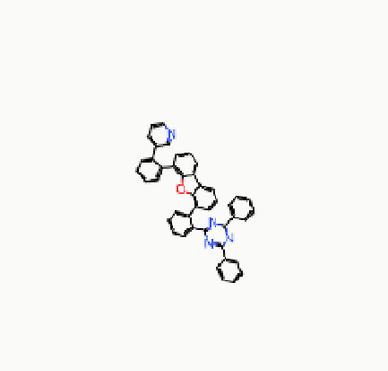 c1ccc(-c2nc(-c3ccccc3)nc(-c3ccccc3-c3cccc4c3oc3c(-c5ccccc5-c5cccnc5)cccc34)n2)cc1